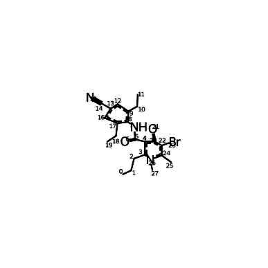 CCCc1c(C(=O)Nc2c(CC)cc(C#N)cc2CC)c(=O)c(Br)c(C)n1C